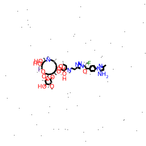 CO[C@H](c1ccc(-n2nc(C)cc2N)cc1)[C@@H](CF)n1cc(CCN(C)[C@H]2C[C@@H](C)O[C@@H](O[C@@H]3[C@@H](C)[C@H](O[C@H]4C[C@@](C)(OC)[C@@H](O)[C@H](C)O4)[C@@H](C)C(=O)O[C@H](I)[C@@](C)(O)[C@H](O)[C@@H](C)N(C)C[C@H](C)C[C@@]3(C)O)[C@@H]2O)nn1